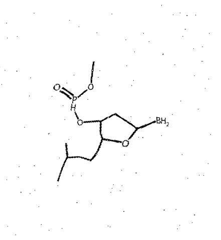 BC1CC(O[PH](=O)OC)C(CC(C)C)O1